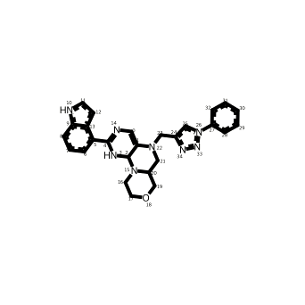 C1=C2C(NC(c3cccc4[nH]ccc34)=N1)N1CCOCC1CN2Cc1cn(-c2ccccc2)nn1